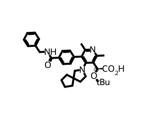 Cc1nc(C)c([C@H](OC(C)(C)C)C(=O)O)c(N2CCC3(CCCC3)C2)c1-c1ccc(C(=O)NCc2ccccc2)cc1